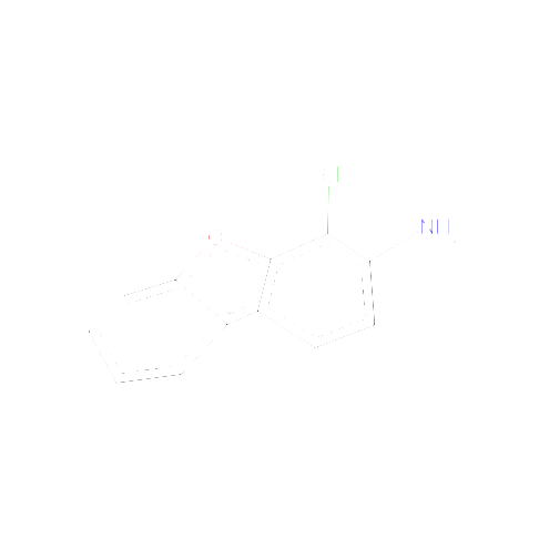 Nc1ccc2c(oc3ccccc32)c1Cl